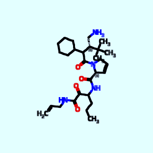 C=CCNC(=O)C(=O)C(CCC)NC(=O)[C@@H]1C=CCN1C(=O)C(C1CCCCC1)[C@H](CN)C(C)(C)C